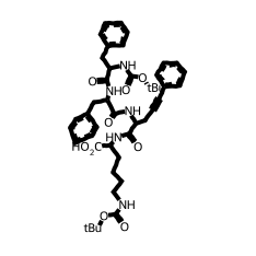 CC(C)(C)OC(=O)NCCCCC(NC(=O)C(CC#Cc1ccccc1)NC(=O)C(Cc1ccccc1)NC(=O)C(Cc1ccccc1)NC(=O)OC(C)(C)C)C(=O)O